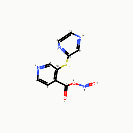 O=NOC(=O)c1ccncc1Sc1cnccn1